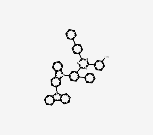 N#Cc1cccc(-c2nc(-c3ccc(-c4ccccc4)cc3)nc(-c3cc(-n4c5ccccc5c5ccc(-n6c7ccccc7c7ccccc76)cc54)ccc3-c3ccccc3)n2)c1